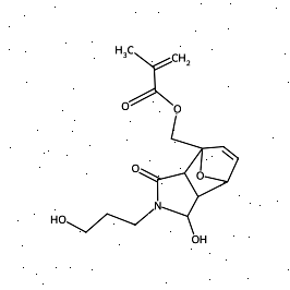 C=C(C)C(=O)OCC12C=CC(O1)C1C(O)N(CCCO)C(=O)C12